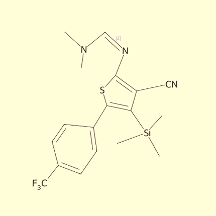 CN(C)/C=N\c1sc(-c2ccc(C(F)(F)F)cc2)c([Si](C)(C)C)c1C#N